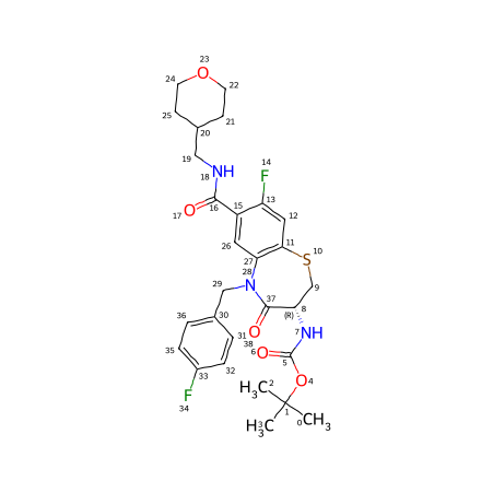 CC(C)(C)OC(=O)N[C@H]1CSc2cc(F)c(C(=O)NCC3CCOCC3)cc2N(Cc2ccc(F)cc2)C1=O